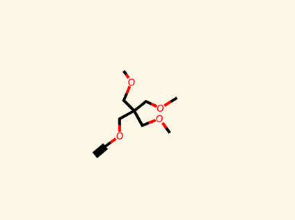 C#COCC(COC)(COC)COC